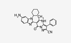 Cc1[nH]c2c(-c3ccccc3)c(C#N)nn2c(=O)c1-c1nc2ccc(N)cc2n1C1CCCCC1